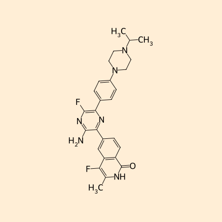 Cc1[nH]c(=O)c2ccc(-c3nc(-c4ccc(N5CCN(C(C)C)CC5)cc4)c(F)nc3N)cc2c1F